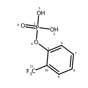 O=P(O)(O)Oc1ccccc1C(F)(F)F